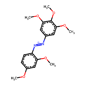 COc1ccc(/N=N/c2cc(OC)c(OC)c(OC)c2)c(OC)c1